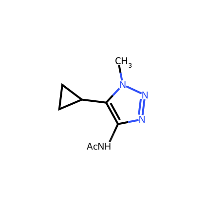 CC(=O)Nc1nnn(C)c1C1CC1